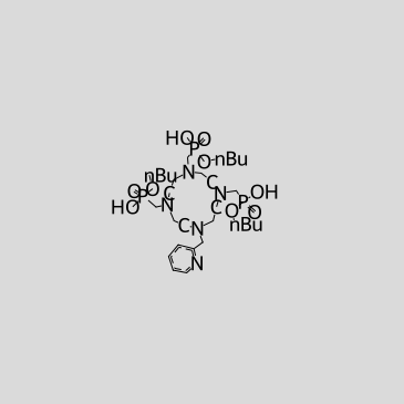 CCCCOP(=O)(O)CN1CCN(Cc2ccccn2)CCN(CP(=O)(O)OCCCC)CCN(CP(=O)(O)OCCCC)CC1